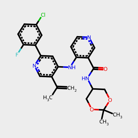 C=C(C)c1cnc(-c2cc(Cl)ccc2F)cc1Nc1ccncc1C(=O)NC1COC(C)(C)OC1